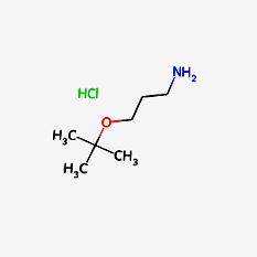 CC(C)(C)OCCCN.Cl